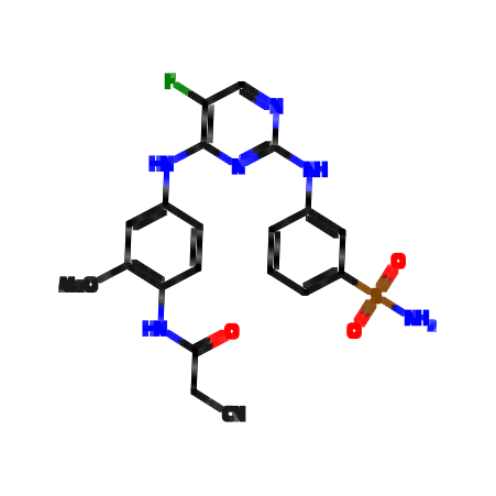 COc1cc(Nc2nc(Nc3cccc(S(N)(=O)=O)c3)ncc2F)ccc1NC(=O)CC#N